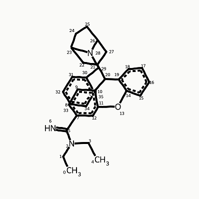 CCN(CC)C(=N)c1ccc2c(c1)Oc1ccccc1C2C1CC2CCC(C1)N2Cc1ccccn1